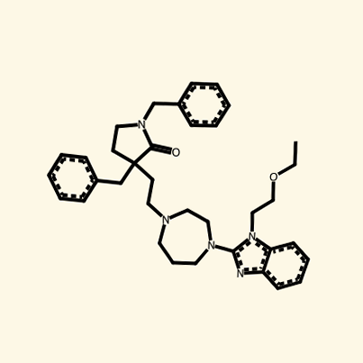 CCOCCn1c(N2CCCN(CCC3(Cc4ccccc4)CCN(Cc4ccccc4)C3=O)CC2)nc2ccccc21